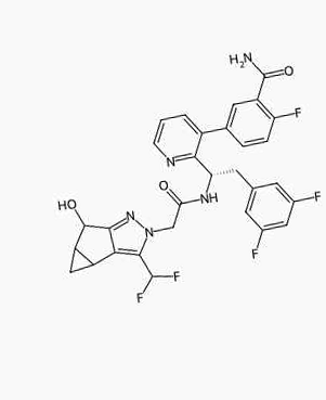 NC(=O)c1cc(-c2cccnc2[C@H](Cc2cc(F)cc(F)c2)NC(=O)Cn2nc3c(c2C(F)F)C2CC2C3O)ccc1F